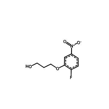 O=[N+]([O-])c1ccc(F)c(OCCCO)c1